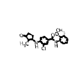 COc1ccccc1NC(=O)c1ccc(NC2=C(C)C(=O)CC2)c(Cl)c1